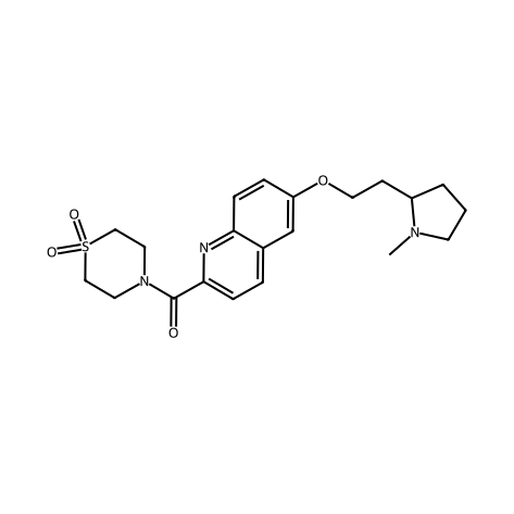 CN1CCCC1CCOc1ccc2nc(C(=O)N3CCS(=O)(=O)CC3)ccc2c1